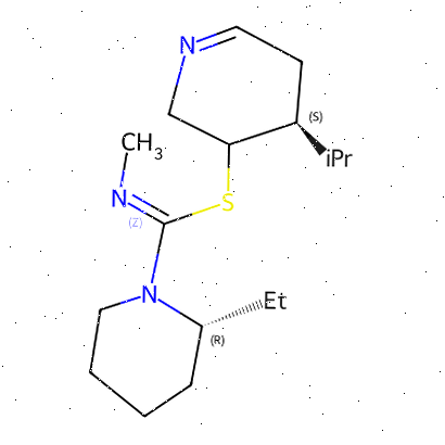 CC[C@@H]1CCCCN1/C(=N/C)SC1CN=CC[C@H]1C(C)C